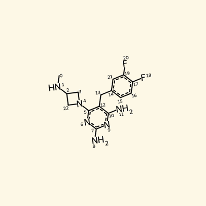 CNC1CN(c2nc(N)nc(N)c2Cc2ccc(F)c(F)c2)C1